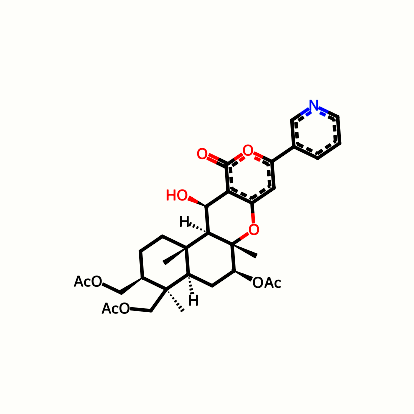 CC(=O)OC[C@H]1CC[C@@]2(C)[C@@H](C[C@H](OC(C)=O)[C@@]3(C)Oc4cc(-c5cccnc5)oc(=O)c4[C@H](O)[C@H]23)[C@@]1(C)COC(C)=O